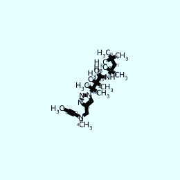 CC#CN(C)Cc1cn(C(C)(C)C(C)(C)C(=O)NC(C)(C)CC(C)(C)C)nn1